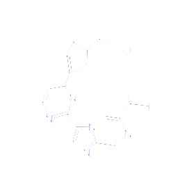 OCc1ccc(-c2ccnc(-c3cnc4cnc(C(F)F)cn34)n2)s1